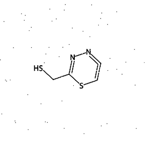 SCC1=NN=C=CS1